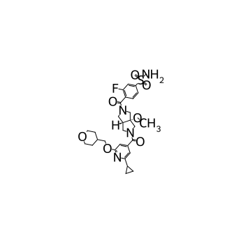 CO[C@]12CN(C(=O)c3cc(OCC4CCOCC4)nc(C4CC4)c3)C[C@@H]1CN(C(=O)c1ccc(S(N)(=O)=O)cc1F)C2